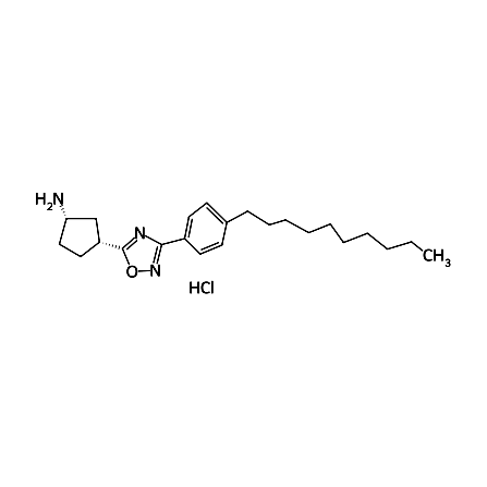 CCCCCCCCCCc1ccc(-c2noc([C@@H]3CC[C@H](N)C3)n2)cc1.Cl